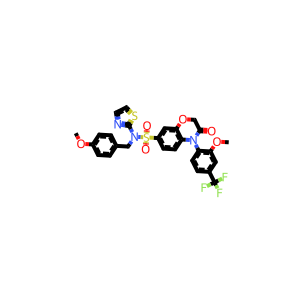 COc1ccc(CN(c2nccs2)S(=O)(=O)c2ccc3c(c2)OCC(=O)N3c2ccc(C(F)(F)F)cc2OC)cc1